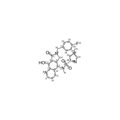 CN(c1c2c(c(O)c3ncccc13)C(=O)N(Cc1ccc(F)cc1)C2)S(=O)(=O)c1cn(C)cn1